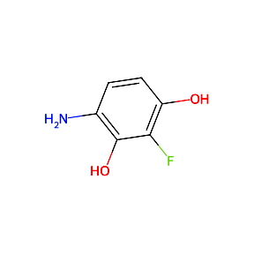 Nc1ccc(O)c(F)c1O